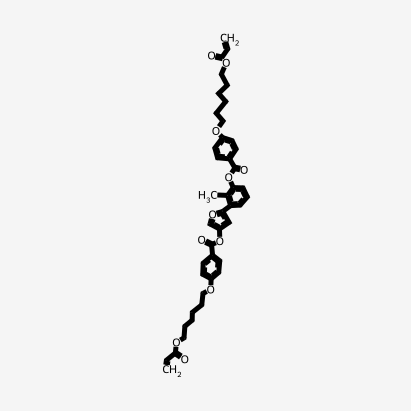 C=CC(=O)OCCCCCCOc1ccc(C(=O)Oc2coc(-c3cccc(OC(=O)c4ccc(OCCCCCCOC(=O)C=C)cc4)c3C)c2)cc1